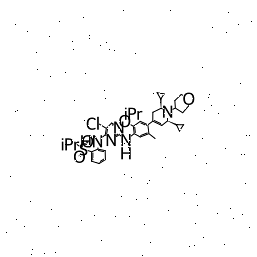 Cc1cc(Nc2ncc(Cl)c(Nc3ccccc3S(=O)(=O)C(C)C)n2)c(OC(C)C)cc1C1=C[C@H](C2CC2)N(C2CCOCC2)[C@H](C2CC2)C1